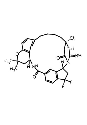 CC[C@]12CCCCc3ccc4c(c3)[C@H](CC(C)(C)O4)NC(=O)c3ccc4c(c3)[C@@H](CC4(F)F)N(C(=N)N1)C(=O)C2